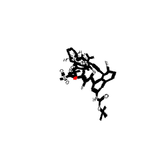 CC(C)[Si](C#Cc1c(F)ccc2cc(NC(=O)OC(C)(C)C)cc(-c3nc4c5c(nc(S(C)(=O)=O)nc5c3F)N3C[C@H]5CC[C@@H]([C@H]3[C@H](C)O4)N5C(=O)OC(C)(C)C)c12)(C(C)C)C(C)C